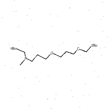 CN(CCCOCCCOCC(C)(C)C)CC(C)(C)C